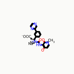 Cn1ccc([O-])c(NC(=O)N[C@@H](CC(=O)[O-])c2cccc(-c3cnccn3)c2)c1=O.[Na+].[Na+]